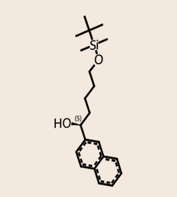 CC(C)(C)[Si](C)(C)OCCCC[C@H](O)c1ccc2ccccc2c1